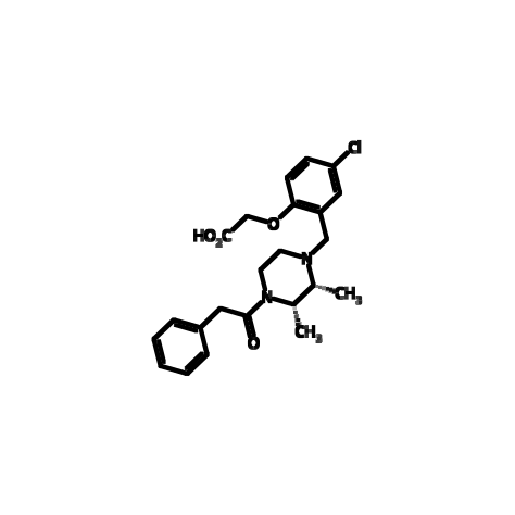 C[C@@H]1[C@H](C)N(C(=O)Cc2ccccc2)CCN1Cc1cc(Cl)ccc1OCC(=O)O